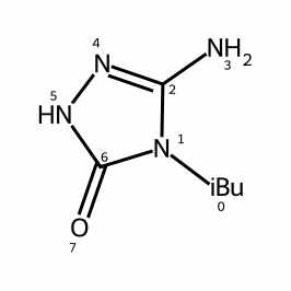 CCC(C)n1c(N)n[nH]c1=O